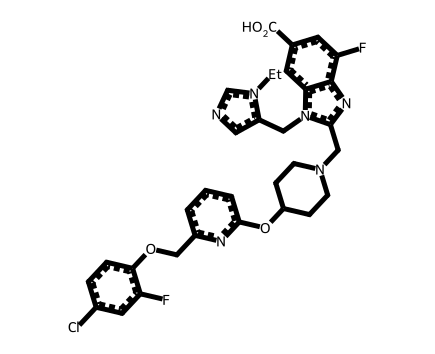 CCn1cncc1Cn1c(CN2CCC(Oc3cccc(COc4ccc(Cl)cc4F)n3)CC2)nc2c(F)cc(C(=O)O)cc21